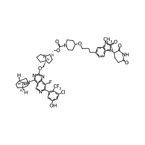 Cn1c(=O)n(C2CCC(=O)NC2=O)c2ccc(CCCOC3CCN(C(=O)OC[C@@H]4CC[C@]5(COc6nc(N7C[C@H]8CC[C@@H](C7)N8)c7cnc(-c8cc(O)cc(Cl)c8C(F)(F)F)c(F)c7n6)CCCN45)CC3)cc21